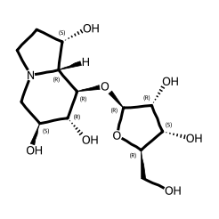 OC[C@H]1O[C@@H](O[C@H]2[C@H](O)[C@@H](O)CN3CC[C@H](O)[C@H]23)[C@H](O)[C@@H]1O